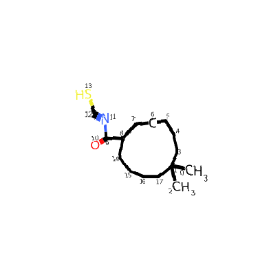 CC1(C)CCCCCC(C(=O)N=CS)CCCC1